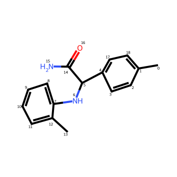 Cc1ccc(C(Nc2ccccc2C)C(N)=O)cc1